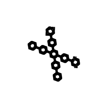 c1ccc(-c2ccc(-c3cc(-c4ccc(-c5ccccc5)cc4)c(-c4ccc(-c5cnccn5)cc4)cc3-c3ccc(-c4cnccn4)cc3)cc2)cc1